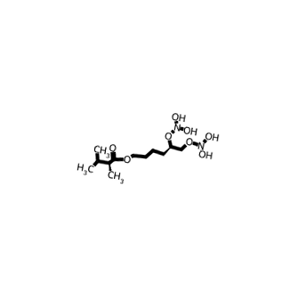 CC(C)[C@H](C)C(=O)OCCCC[C@H](CON(O)O)ON(O)O